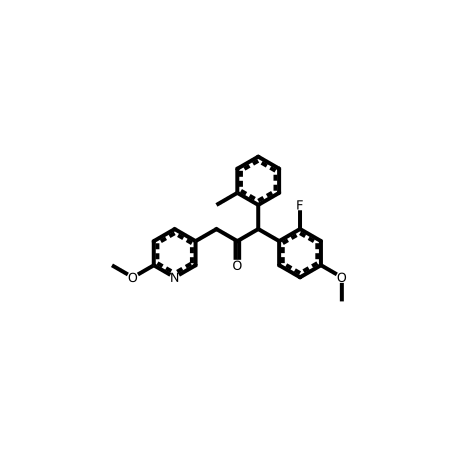 COc1ccc(C(C(=O)Cc2ccc(OC)nc2)c2ccccc2C)c(F)c1